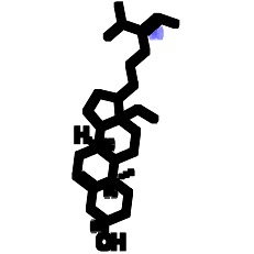 C/C=C(\CCCC1CCC2[C@@H]3CC=C4C[C@@H](O)CC[C@]4(C)C3CCC12CC)C(C)C